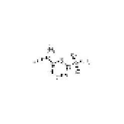 CS(=O)(=O)c1ccnc(C(N)=O)c1